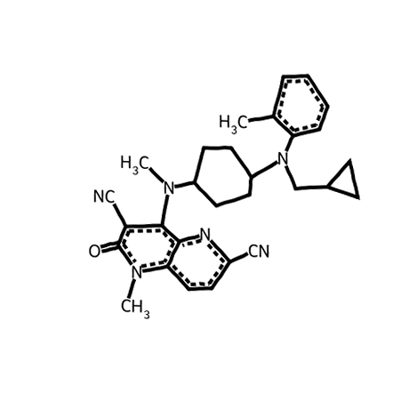 Cc1ccccc1N(CC1CC1)C1CCC(N(C)c2c(C#N)c(=O)n(C)c3ccc(C#N)nc23)CC1